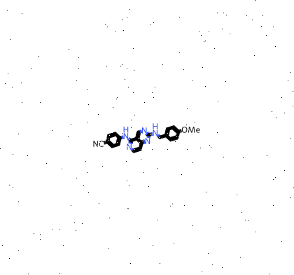 COc1ccc(CNc2ncc3c(Nc4ccc(C#N)cc4)nccc3n2)cc1